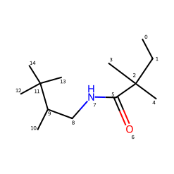 CCC(C)(C)C(=O)NCC(C)C(C)(C)C